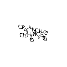 O=c1c(Cl)c(Cl)cnn1CS(=O)(=O)Cl